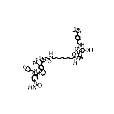 CNC(=O)N1CCc2c(c(N3CCCc4cc(-c5cnn(CC(=O)NCCCCCCCC(=O)N[C@H](C(=O)N6C[C@H](O)C[C@H]6C(=O)NCc6ccc(-c7scnc7C)cc6)C(C)(C)C)c5)c(C(F)F)cc43)nn2C2CCOCC2)C1